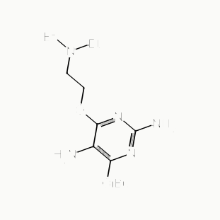 CCN(CC)CCOc1nc(N)nc(OCC(C)C)c1N